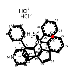 Cl.Cl.[SiH2]=[Zr]([C]1=C(c2ccncc2)C=CC1)([C]1=C(c2ccncc2)C=CC1)([c]1ccccc1)[c]1ccccc1